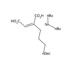 CCCCCCCCCCCCC/C(=C/C(=O)O)C(=O)O.CCC[CH2][Sn][CH2]CCC